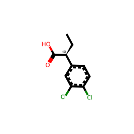 CC[C@H](C(=O)O)c1ccc(Cl)c(Cl)c1